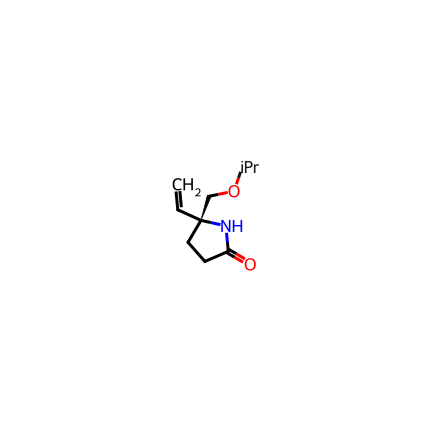 C=C[C@@]1(COC(C)C)CCC(=O)N1